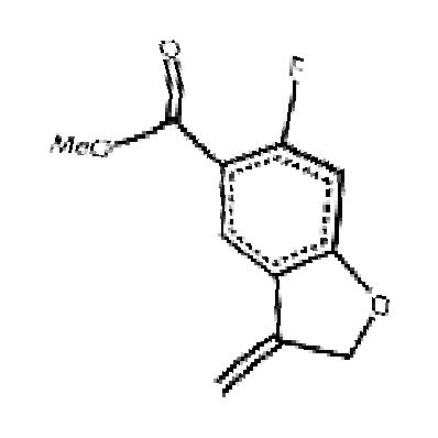 C=C1COc2cc(F)c(C(=O)OC)cc21